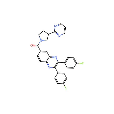 O=C(c1ccc2nc(-c3ccc(F)cc3)c(-c3ccc(F)cc3)nc2c1)N1CCC(c2ncccn2)C1